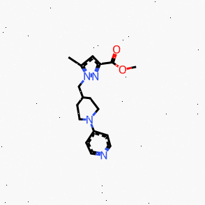 COC(=O)c1cc(C)n(CC2CCN(c3ccncc3)CC2)n1